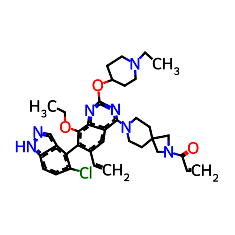 C=CC(=O)N1CC2(CCN(c3nc(OC4CCN(CC)CC4)nc4c(OCC)c(-c5c(Cl)ccc6[nH]ncc56)c(C=C)cc34)CC2)C1